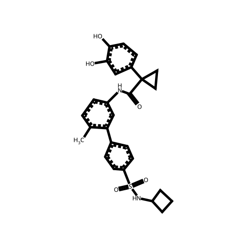 Cc1ccc(NC(=O)C2(c3ccc(O)c(O)c3)CC2)cc1-c1ccc(S(=O)(=O)NC2CCC2)cc1